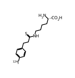 N[C@@H](CCCCNC(=S)CCc1ccc([124I])cc1)C(=O)O